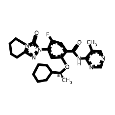 Cc1cncnc1NC(=O)c1cc(F)c(-n2nc3n(c2=O)CCCC3)cc1O[C@@H](C)C1CCCCC1